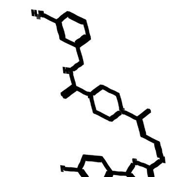 C=C(NCc1cccc(N)c1)N1CCN(/C(C)=C/C=N\c2ccc(-c3ccc(F)cc3)s2)CC1